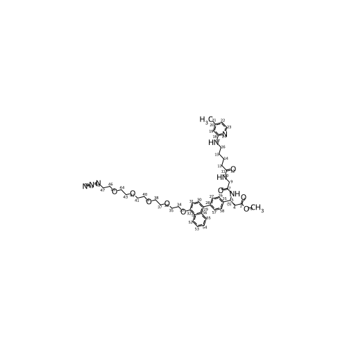 COC(=O)C[C@H](NC(=O)CNC(=O)CCCCNc1cc(C)ccn1)c1ccc(-c2ccc(OCCOCCOCCOCCOCCN=[N+]=[N-])c3ccccc23)cc1